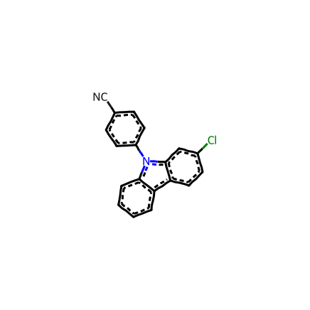 N#Cc1ccc(-n2c3ccccc3c3ccc(Cl)cc32)cc1